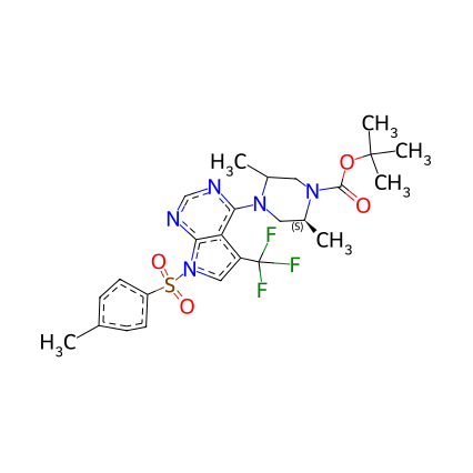 Cc1ccc(S(=O)(=O)n2cc(C(F)(F)F)c3c(N4C[C@H](C)N(C(=O)OC(C)(C)C)CC4C)ncnc32)cc1